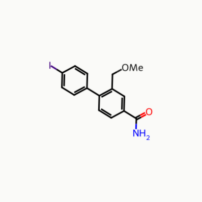 COCc1cc(C(N)=O)ccc1-c1ccc(I)cc1